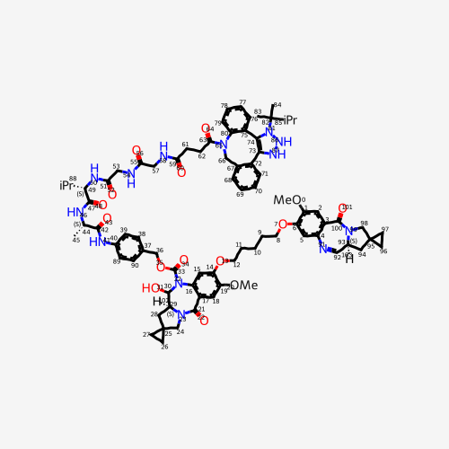 COc1cc2c(cc1OCCCCCOc1cc3c(cc1OC)C(=O)N1CC4(CC4)C[C@H]1C(O)N3C(=O)OCc1ccc(NC(=O)[C@H](C)NC(=O)[C@@H](NC(=O)CNC(=O)CNC(=O)CCC(=O)N3Cc4ccccc4C4=C(c5ccccc53)N(C(C)(C)C(C)C)NN4)C(C)C)cc1)N=C[C@@H]1CC3(CC3)CN1C2=O